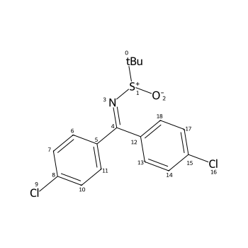 CC(C)(C)[S+]([O-])N=C(c1ccc(Cl)cc1)c1ccc(Cl)cc1